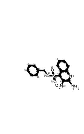 Nc1nc2ccccc2c(S(=O)(=O)NCc2ccccc2)c1[N+](=O)[O-]